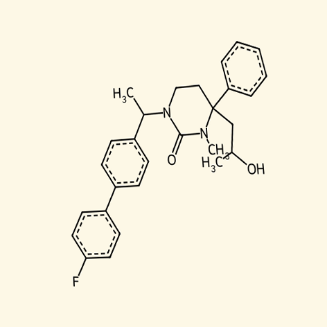 CC(O)CC1(c2ccccc2)CCN(C(C)c2ccc(-c3ccc(F)cc3)cc2)C(=O)N1C